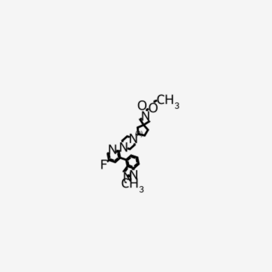 CCOC(=O)N1CC2(CC[C@@H](N3CCN(c4ncc(F)cc4-c4cccc5nn(C)cc45)CC3)C2)C1